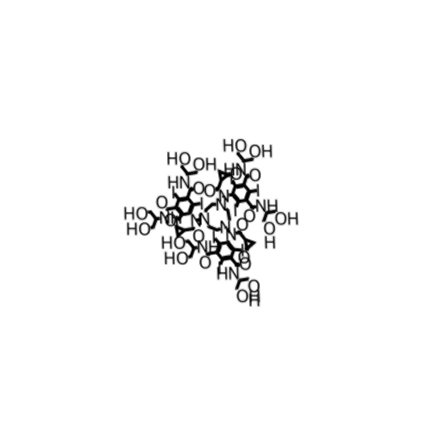 O=C(NC(CO)CO)c1c(I)c(C(=O)NC(CO)CO)c(I)c(N(C(=O)C2CC2=O)N2CCN(N(C(=O)C3CC3=O)c3c(I)c(C(=O)NC(CO)CO)c(I)c(C(=O)NC(CO)CO)c3I)CCN(N(C(=O)C3CC3=O)c3c(I)c(C(=O)NC(CO)CO)c(I)c(C(=O)NC(CO)CO)c3I)CC2)c1I